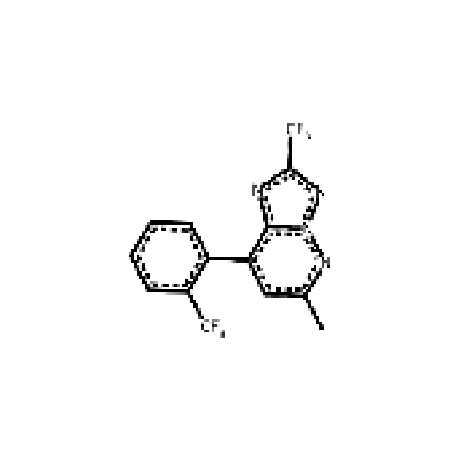 Cc1cc(-c2ccccc2C(F)(F)F)c2nc(C(F)(F)F)nn2n1